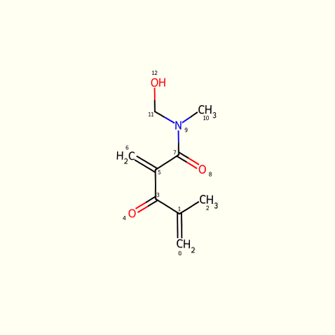 C=C(C)C(=O)C(=C)C(=O)N(C)CO